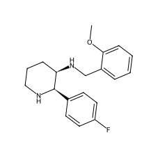 COc1ccccc1CN[C@@H]1CCCN[C@@H]1c1ccc(F)cc1